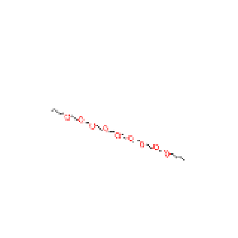 CCCCOCCOCCOCCOCCOCCOCCOCCOCCOCCCC